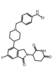 CCNc1ccc(CN2CCC(c3cc(F)cc4c3CN(C3CCC(=O)NC3=O)C4=O)CC2)cc1